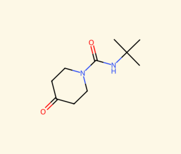 CC(C)(C)NC(=O)N1CCC(=O)CC1